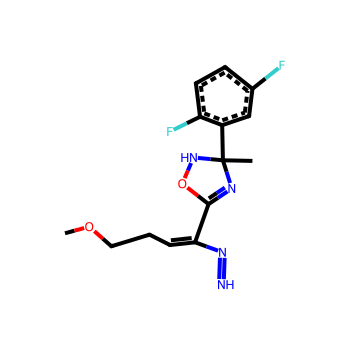 COCC/C=C(/N=N)C1=NC(C)(c2cc(F)ccc2F)NO1